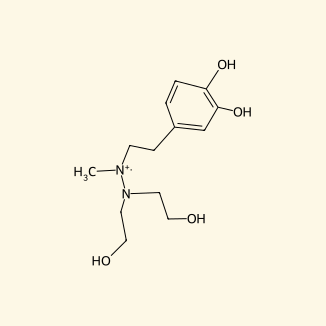 C[N+](CCc1ccc(O)c(O)c1)N(CCO)CCO